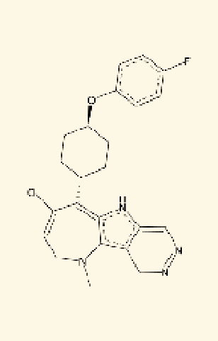 CN1CC=C(Cl)C([C@H]2CC[C@H](Oc3ccc(F)cc3)CC2)=c2[nH]c3c(c21)CN=NC=3